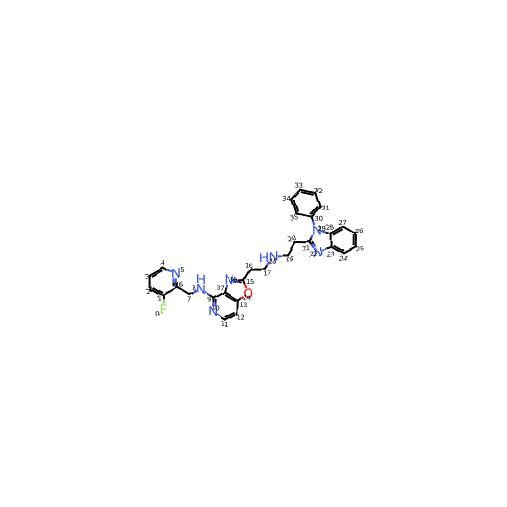 Fc1cccnc1CNc1nccc2oc(CCNCCc3nc4ccccc4n3-c3ccccc3)nc12